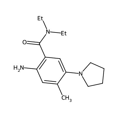 CCN(CC)C(=O)c1cc(N2CCCC2)c(C)cc1N